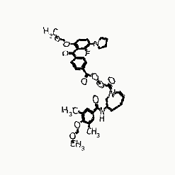 COCOc1ccc(N2CCCC2)c(F)c1C(=O)c1ccc(C(=O)OOC(=O)N2CCCCC(NC(=O)c3cc(C)c(OCOC)c(C)c3)C2)cc1